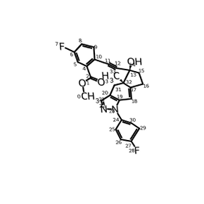 COC(=O)c1cc(F)ccc1C#C[C@]1(O)CCC2=Cc3c(cnn3-c3ccc(F)cc3)C[C@@]21C